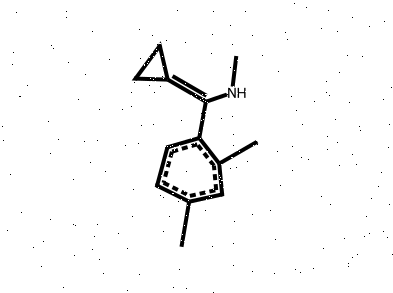 CNC(=C1CC1)c1ccc(C)cc1C